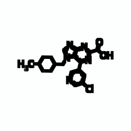 CC1CCC(Cn2cnc3nc(C(=O)O)nc(-c4cncc(Cl)c4)c32)CC1